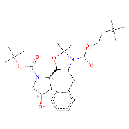 CC(C)(C)OC(=O)N1C[C@H](O)C[C@@H]1C1OC(C)(C)N(C(=O)OCC[Si](C)(C)C)C1Cc1ccccc1